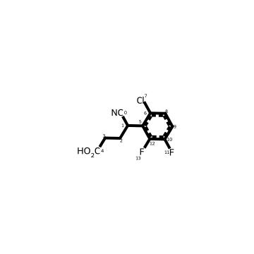 N#CC(CCC(=O)O)c1c(Cl)ccc(F)c1F